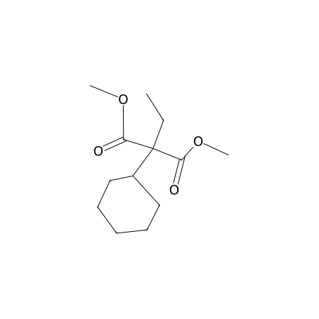 CCC(C(=O)OC)(C(=O)OC)C1CCCCC1